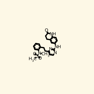 CN(c1ccccc1CCc1ccnc(Nc2ccc3c(c2)CCC(=O)N3)n1)S(C)(=O)=O